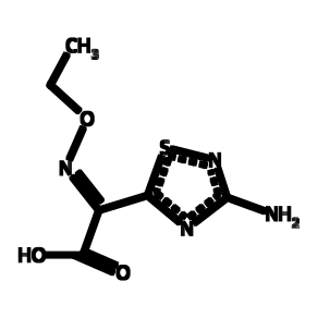 CCO/N=C(/C(=O)O)c1nc(N)ns1